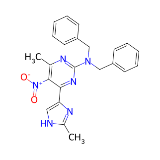 Cc1nc(-c2nc(N(Cc3ccccc3)Cc3ccccc3)nc(C)c2[N+](=O)[O-])c[nH]1